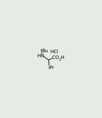 CC(C)C(NC(C)(C)C)C(=O)O.Cl